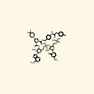 Nc1ccn([C@@H]2O[C@H](COP(=O)(O)O)[C@@H](OP(=O)(O)OC[C@H]3O[C@@H](n4cnc5c(N)ncnc54)[C@H](O)[C@@H]3OC(=O)[C@@H]3C[C@H](N4CCC(F)(F)CC4)CN3C(=O)OCc3ccc(NC(=O)Cc4ccc(F)cc4)cc3)[C@H]2O)c(=O)n1